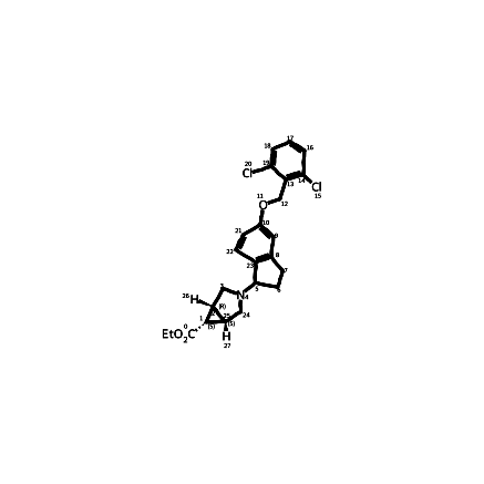 CCOC(=O)[C@@H]1[C@@H]2CN(C3CCc4cc(OCc5c(Cl)cccc5Cl)ccc43)C[C@@H]21